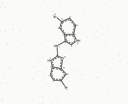 Brc1ccc2[nH]c(Nc3c[nH]c4ccc(Br)cc34)nc2c1